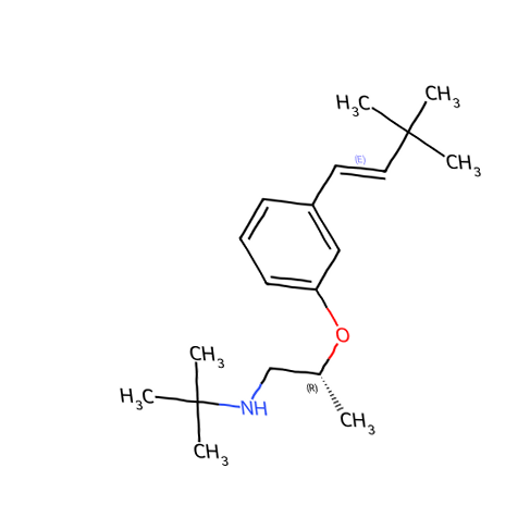 C[C@H](CNC(C)(C)C)Oc1cccc(/C=C/C(C)(C)C)c1